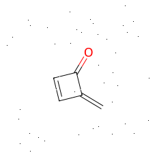 C=C1C=CC1=O